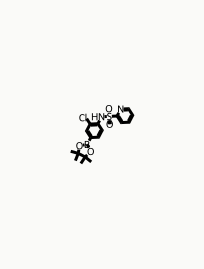 CC1(C)OB(c2ccc(NS(=O)(=O)c3ccccn3)c(Cl)c2)OC1(C)C